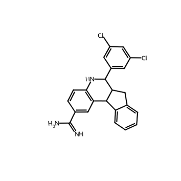 N=C(N)c1ccc2c(c1)C1c3ccccc3CC1C(c1cc(Cl)cc(Cl)c1)N2